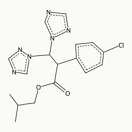 CC(C)COC(=O)C(c1ccc(Cl)cc1)C(n1cncn1)n1cncn1